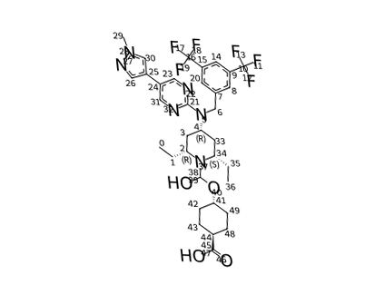 CC[C@@H]1C[C@H](N(Cc2cc(C(F)(F)F)cc(C(F)(F)F)c2)c2ncc(-c3cnn(C)c3)cn2)C[C@H](CC)N1C(O)O[C@H]1CC[C@H](C(=O)O)CC1